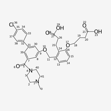 CN1CCN(C(=O)c2cc(OCc3cccc(OCCCC(=O)O)c3CCC(=O)O)cc(-c3ccc(Cl)cc3)c2)CC1